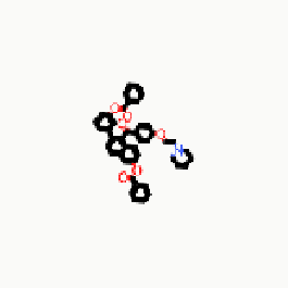 O=C(Oc1cccc(-c2ccc3cc(OC(=O)c4ccccc4)ccc3c2C(=O)C2=CCC(OCCN3CCCCC3)C=C2)c1)c1ccccc1